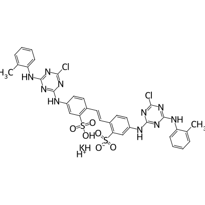 Cc1ccccc1Nc1nc(Cl)nc(Nc2ccc(C=Cc3ccc(Nc4nc(Cl)nc(Nc5ccccc5C)n4)cc3S(=O)(=O)O)c(S(=O)(=O)[O-])c2)n1.[H+].[KH]